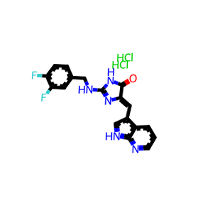 Cl.Cl.O=C1NC(NCc2ccc(F)c(F)c2)=N/C1=C\c1c[nH]c2ncccc12